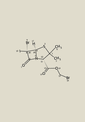 CC1(C)S[C@H]2N(C(=O)[C@@]2(Br)I)[C@H]1C(=O)OCBr